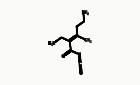 CCC(C(=O)N=C=O)=C(C)CCN